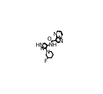 O=C(Nc1c[nH]nc1N1CCCC(F)C1)c1cnn2cccnc12